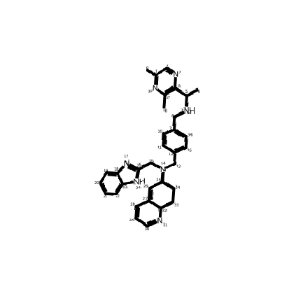 Cc1cnc(C(C)NCc2ccc(CN(Cc3nc4ccccc4[nH]3)C3C=C4C=CC=NC4CC3)cc2)c(C)n1